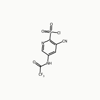 N#Cc1cc(NC(=O)C(F)(F)F)cnc1S(=O)(=O)Cl